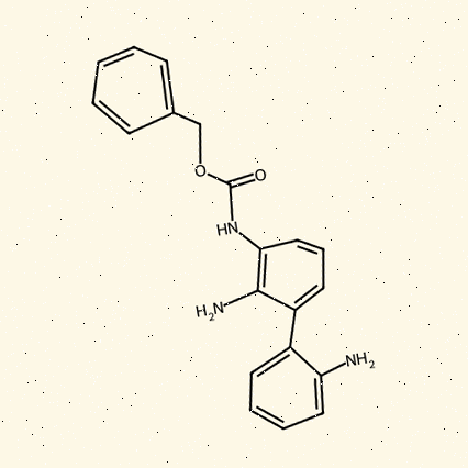 Nc1ccccc1-c1cccc(NC(=O)OCc2ccccc2)c1N